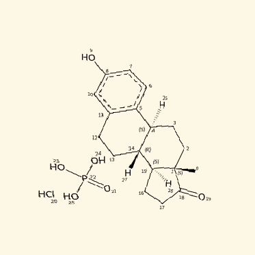 C[C@]12CC[C@@H]3c4ccc(O)cc4CC[C@H]3[C@@H]1CCC2=O.Cl.O=P(O)(O)O